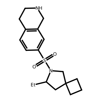 CCC1CC2(CCC2)CN1S(=O)(=O)c1ccc2c(c1)CNCC2